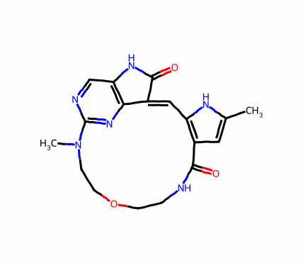 Cc1cc2c([nH]1)/C=C1\C(=O)Nc3cnc(nc31)N(C)CCOCCNC2=O